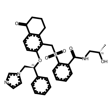 C[C@H](O)CNC(=O)c1ccccc1S(=O)(=O)Cc1c(O[C@H](Cn2ccnc2)c2ccccc2)ccc2c1CCCC2=O